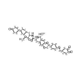 COC(=O)C(Cc1ccc(-c2ccc(Cl)cc2)cc1)NC(=O)C1Cc2cc3c(cc2CN1)OC(c1ccc(OCc2ccc(Cl)c(Cl)c2)cc1)CO3.Cl